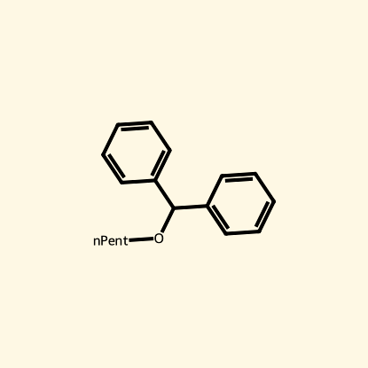 CCCCCOC(c1ccccc1)c1ccccc1